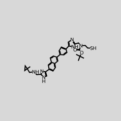 CC1(CNCc2nc(-c3ccc4cc(-c5ccc(-c6cnc(CN(CCS)C(=O)OC(C)(C)C)[nH]6)cc5)ccc4c3)c[nH]2)CC1